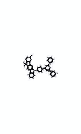 CC1C=CC2=C(C1)c1cc3c(cc1C2(C)C)c1ccccc1n3-c1ccc(-c2cc(-c3ccccc3)nc(-c3ccccc3)n2)cc1